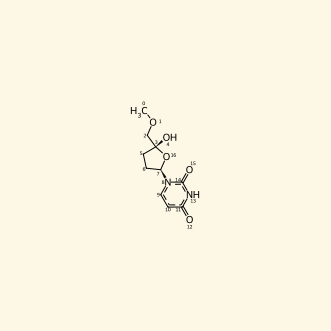 COC[C@@]1(O)CC[C@H](n2ccc(=O)[nH]c2=O)O1